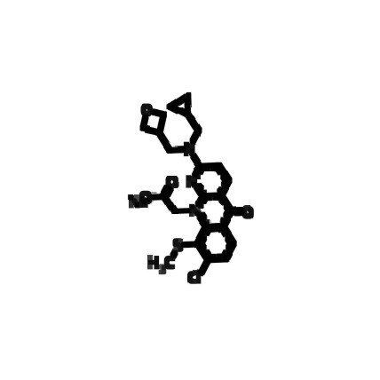 CSc1c(Cl)ccc2c(=O)c3ccc(N(CC4CC4)CC4COC4)nc3n(CC(=O)[O-])c12.[Na+]